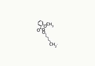 [CH2]CCCCCOOC(=O)c1ccccc1OC